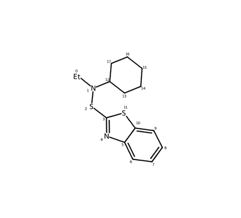 CCN(Sc1nc2ccccc2s1)C1CCCCC1